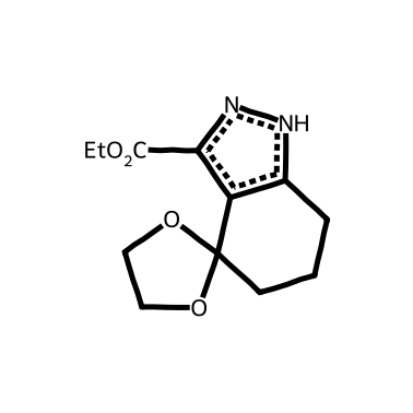 CCOC(=O)c1n[nH]c2c1C1(CCC2)OCCO1